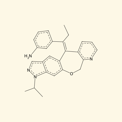 CCC(=C1c2cc3cnn(C(C)C)c3cc2OCc2ncccc21)c1cccc(N)c1